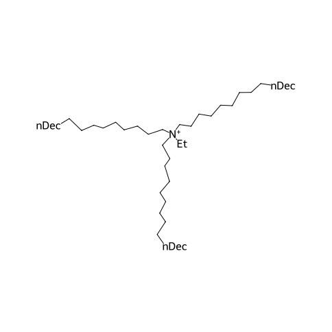 CCCCCCCCCCCCCCCCCCC[N+](CC)(CCCCCCCCCCCCCCCCCCC)CCCCCCCCCCCCCCCCCCC